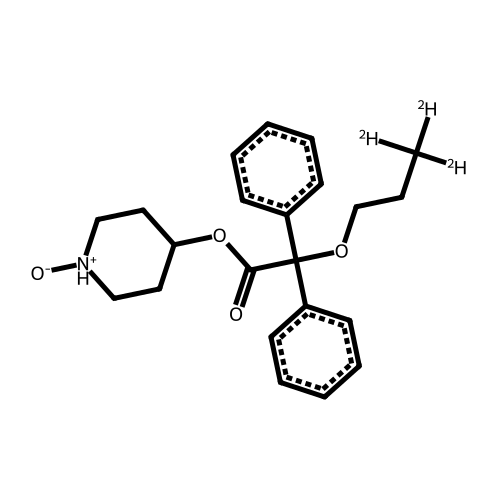 [2H]C([2H])([2H])CCOC(C(=O)OC1CC[NH+]([O-])CC1)(c1ccccc1)c1ccccc1